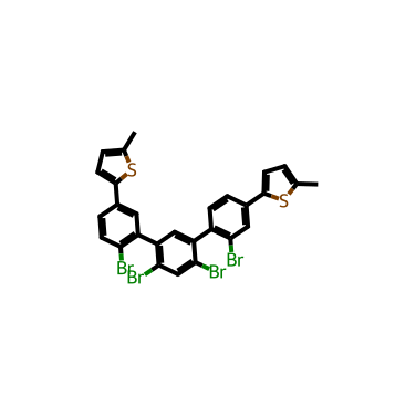 Cc1ccc(-c2ccc(-c3cc(-c4cc(-c5ccc(C)s5)ccc4Br)c(Br)cc3Br)c(Br)c2)s1